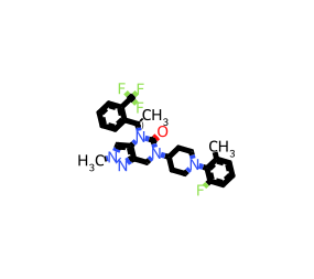 Cc1cccc(F)c1N1CCC(N2Cc3nn(C)cc3N([C@@H](C)c3ccccc3C(F)(F)F)C2=O)CC1